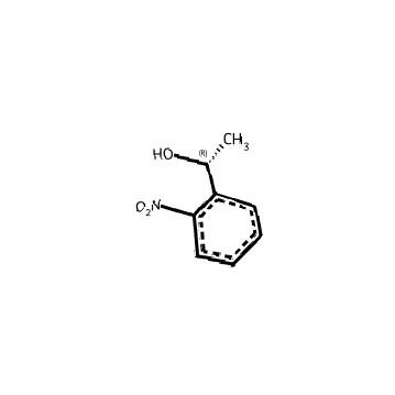 C[C@@H](O)c1ccccc1[N+](=O)[O-]